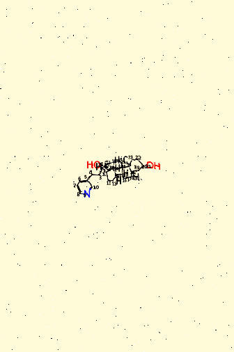 CCC(O)(CCc1cccnc1)[C@H]1CC[C@H]2[C@@H]3CC[C@H]4C[C@@H](O)CC[C@]4(C)[C@H]3CC[C@]12C